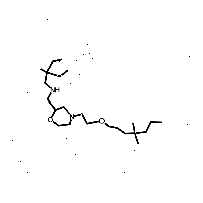 CCCC(C)(C)CCCOCCN1CCOC(CNCC(C)(CC)CC)C1